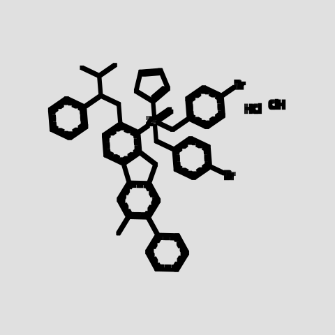 Cl.Cl.[CH2]=[Zr]([CH2]c1ccc(Br)cc1)([CH2]c1ccc(Br)cc1)([C]1=CC=CC1)[c]1c(CC(c2ccccc2)C(C)C)ccc2c1Cc1cc(-c3ccccc3)c(C)cc1-2